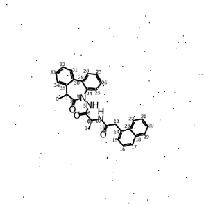 CC1C(=O)N(NC(=O)[C@H](C)NC(=O)Cc2cccc3ccccc23)c2ccccc2-c2ccccc21